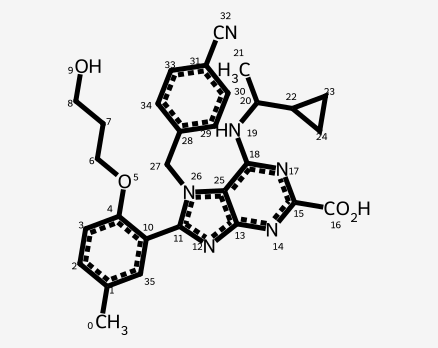 Cc1ccc(OCCCO)c(-c2nc3nc(C(=O)O)nc(NC(C)C4CC4)c3n2Cc2ccc(C#N)cc2)c1